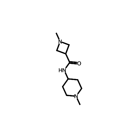 CN1CCC(NC(=O)C2CN(C)C2)CC1